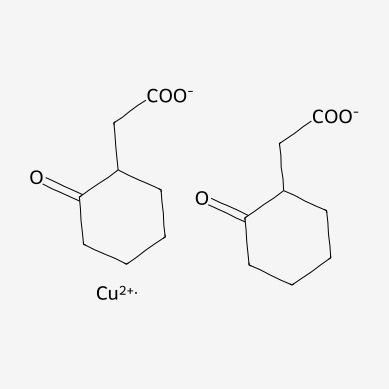 O=C([O-])CC1CCCCC1=O.O=C([O-])CC1CCCCC1=O.[Cu+2]